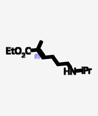 CCOC(=O)/C(C)=C/CCCNC(C)C